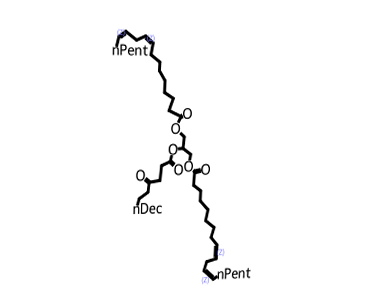 CCCCC/C=C\C/C=C\CCCCCCCC(=O)OCC(COC(=O)CCCCCCC/C=C\C/C=C\CCCCC)OC(=O)CCC(=O)CCCCCCCCCCCC